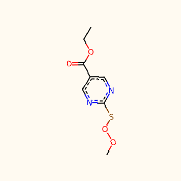 CCOC(=O)c1cnc(SOOC)nc1